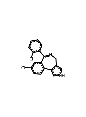 Clc1ccc2c(c1)C(c1ccccc1Cl)=NCc1c[nH]cc1-2